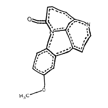 COc1ccc2c(c1)c1ccnc3ccc(=O)n2c31